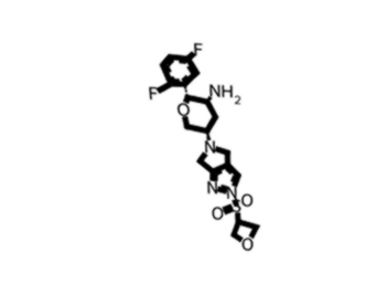 N[C@H]1C[C@@H](N2Cc3cn(S(=O)(=O)C4COC4)nc3C2)CO[C@@H]1c1cc(F)ccc1F